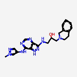 Cn1cc(Nc2ncnc3c(NC[C@@H](O)CN4CCc5ccccc5C4)n[nH]c23)cn1